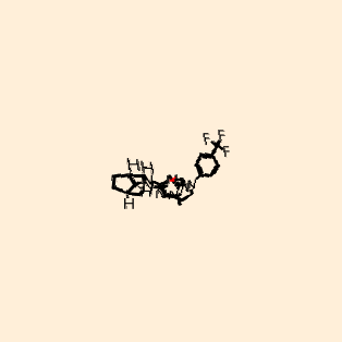 Cc1cc(N2C[C@H]3CC[C@@H](C2)[C@H]3Nc2nc3n(n2)CCN3c2ccc(C(F)(F)F)cc2)ncn1